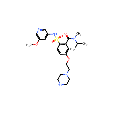 COc1cncc(NS(=O)(=O)c2ccc(OCCN3CCNCC3)cc2C(=O)N(C)C(C)C)c1